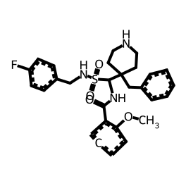 COc1ccccc1C(=O)NC(C1(Cc2ccccc2)CCNCC1)S(=O)(=O)NCc1ccc(F)cc1